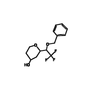 OC1CCOC(C(OCc2ccccc2)C(F)(F)F)C1